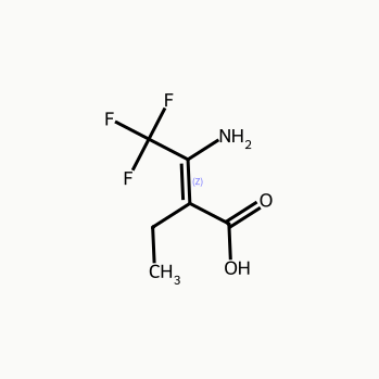 CC/C(C(=O)O)=C(/N)C(F)(F)F